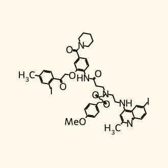 COc1ccc(S(=O)(=O)N(CCNc2cc(C)nc3ccc(I)cc23)CCC(=O)Nc2ccc(C(=O)N3CCCCC3)cc2OCC(=O)c2ccc(C)cc2I)cc1